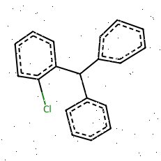 Clc1ccccc1[C](c1ccccc1)c1ccccc1